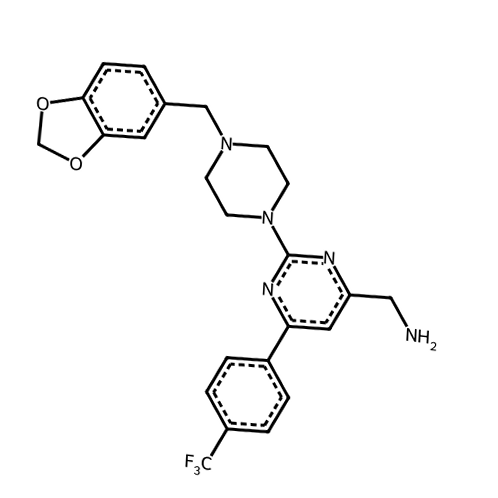 NCc1cc(-c2ccc(C(F)(F)F)cc2)nc(N2CCN(Cc3ccc4c(c3)OCO4)CC2)n1